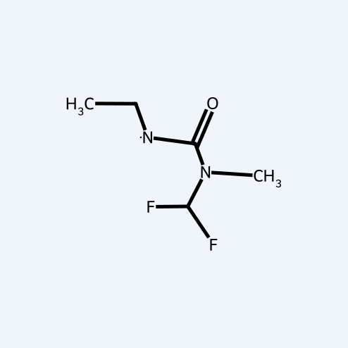 CC[N]C(=O)N(C)C(F)F